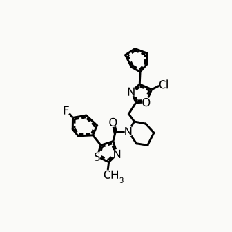 Cc1nc(C(=O)N2CCCCC2Cc2nc(-c3ccccc3)c(Cl)o2)c(-c2ccc(F)cc2)s1